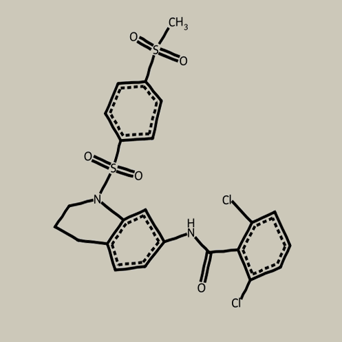 CS(=O)(=O)c1ccc(S(=O)(=O)N2CCCc3ccc(NC(=O)c4c(Cl)cccc4Cl)cc32)cc1